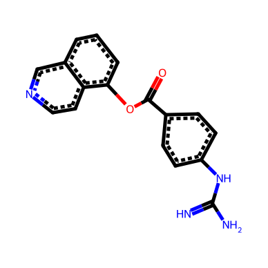 N=C(N)Nc1ccc(C(=O)Oc2cccc3cnccc23)cc1